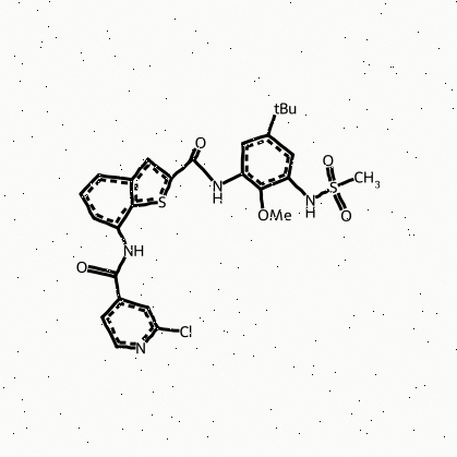 COc1c(NC(=O)c2cc3cccc(NC(=O)c4ccnc(Cl)c4)c3s2)cc(C(C)(C)C)cc1NS(C)(=O)=O